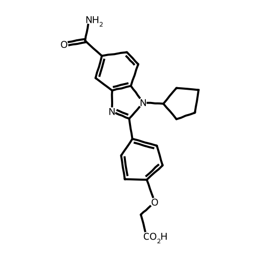 NC(=O)c1ccc2c(c1)nc(-c1ccc(OCC(=O)O)cc1)n2C1CCCC1